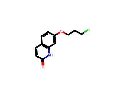 O=c1ccc2ccc(OCCCCl)cc2[nH]1